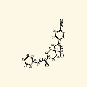 N#Cc1ccc(C2=NC(=O)C3(CCN(C(=O)OCc4ccccc4)CC3)C2)cc1